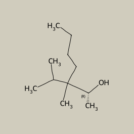 CCCCC(C)(C(C)C)[C@@H](C)O